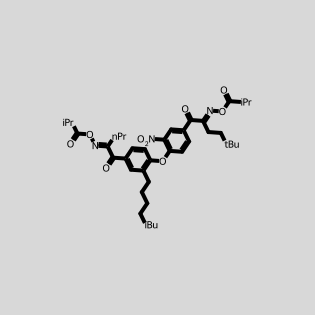 CCC/C(=N\OC(=O)C(C)C)C(=O)c1ccc(Oc2ccc(C(=O)/C(CCC(C)(C)C)=N/OC(=O)C(C)C)cc2[N+](=O)[O-])c(CCCCC(C)CC)c1